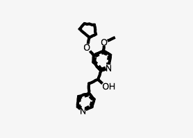 COc1cnc(C(O)Cc2ccncc2)cc1OC1CCCC1